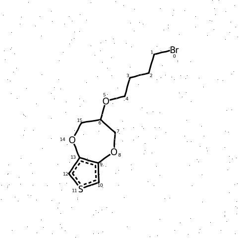 BrCCCCOC1COc2cscc2OC1